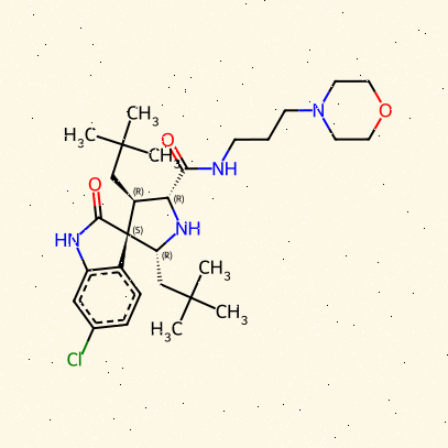 CC(C)(C)C[C@H]1N[C@@H](C(=O)NCCCN2CCOCC2)[C@H](CC(C)(C)C)[C@@]12C(=O)Nc1cc(Cl)ccc12